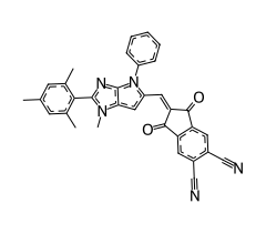 Cc1cc(C)c(-c2nc3c(cc(C=C4C(=O)c5cc(C#N)c(C#N)cc5C4=O)n3-c3ccccc3)n2C)c(C)c1